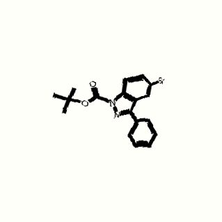 CC(C)(C)OC(=O)n1nc(-c2ccccc2)c2cc(Br)ccc21